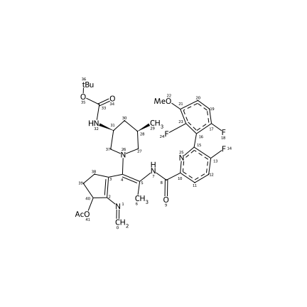 C=NC1=C(/C(=C(\C)NC(=O)c2ccc(F)c(-c3c(F)ccc(OC)c3F)n2)N2C[C@H](C)C[C@H](NC(=O)OC(C)(C)C)C2)CCC1OC(C)=O